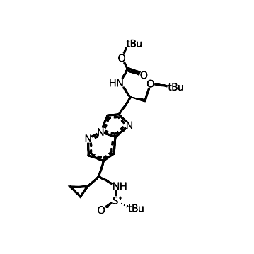 CC(C)(C)OC[C@H](NC(=O)OC(C)(C)C)c1cn2ncc(C(N[S@@+]([O-])C(C)(C)C)C3CC3)cc2n1